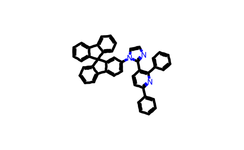 c1ccc(-c2ccc(-c3nccn3-c3ccc4c(c3)C3(c5ccccc5-c5ccccc53)c3ccccc3-4)c(-c3ccccc3)n2)cc1